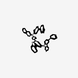 c1ccc(-c2cccc(N(c3ccc(-c4cc(-n5c6ccccc6c6cc(-c7ccccc7)ccc65)cc5c4sc4ccccc45)cc3)c3ccc4ccccc4c3)c2)cc1